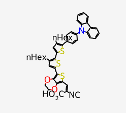 [C-]#[N+]/C(=C/c1sc(-c2cc(CCCCCC)c(-c3cc(CCCCCC)c(-c4ccc(-n5c6ccccc6c6ccccc65)cc4)s3)s2)c2c1OCCO2)C(=O)O